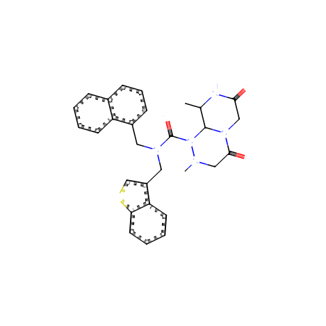 CC1NC(=O)CN2C(=O)CN(C)N(C(=O)N(Cc3cccc4ccccc34)Cc3csc4ccccc34)C12